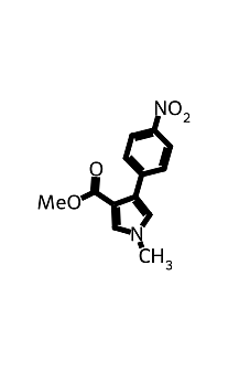 COC(=O)c1cn(C)cc1-c1ccc([N+](=O)[O-])cc1